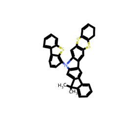 CC1(C)c2ccccc2-c2cc3c4cc5c(cc4n(-c4cccc6c4sc4ccccc46)c3cc21)SC1=C(CCC=C1)S5